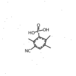 Cc1cc(C#N)c(C)c(P(=O)(O)O)c1C